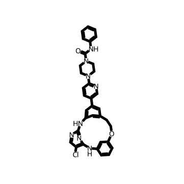 O=C(Nc1ccccc1)N1CCN(c2ccc(-c3cc4cc(c3)Nc3ncc(Cl)c(n3)Nc3cccc(c3)OCC4)cn2)CC1